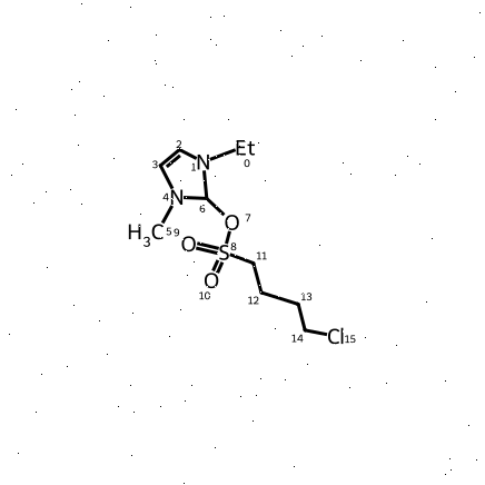 CCN1C=CN(C)C1OS(=O)(=O)CCCCCl